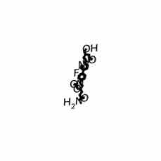 NC(=O)CCC1CN(c2ccc(-c3ccc(N4CC(CO)CC4=O)nc3)c(F)c2)C(=O)O1